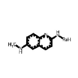 CNc1ccc2nc([NH][RaH])ccc2c1